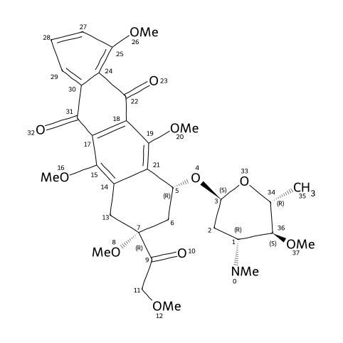 CN[C@@H]1C[C@@H](O[C@@H]2C[C@@](OC)(C(=O)COC)Cc3c(OC)c4c(c(OC)c32)C(=O)c2c(OC)cccc2C4=O)O[C@H](C)[C@H]1OC